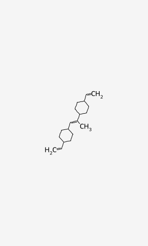 C=CC1CCC(/C=C(\C)C2CCC(C=C)CC2)CC1